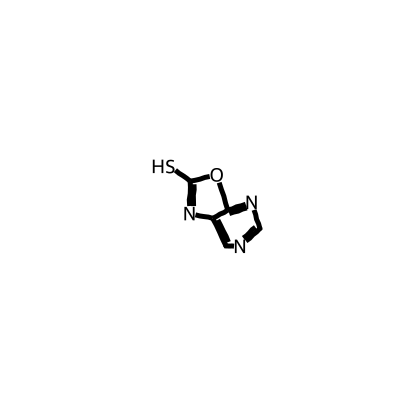 Sc1nc2cncnc2o1